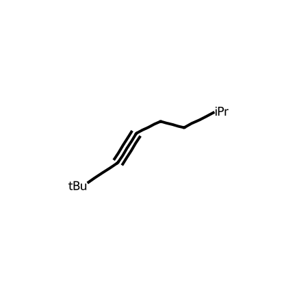 [CH2]C(C)CCC#CC(C)(C)C